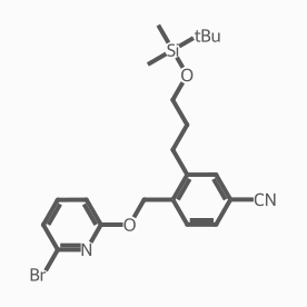 CC(C)(C)[Si](C)(C)OCCCc1cc(C#N)ccc1COc1cccc(Br)n1